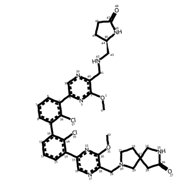 COc1nc(-c2cccc(-c3cccc(-c4cnc(CN5CCC6(CNC(=O)C6)C5)c(OC)n4)c3Cl)c2Cl)cnc1CNC[C@H]1CCC(=O)N1